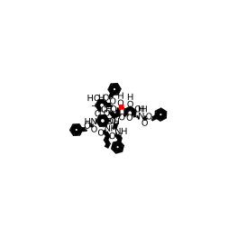 CCC[C@H](O)C(=O)N[C@@H]1C[C@H](NC(=O)OCc2ccccc2)[C@@H](O[C@H]2O[C@@H]3COC(c4ccccc4)O[C@H]3[C@H](O)[C@H]2C)[C@H](O[C@@H]2O[C@H](CO)[C@@H](O[C@H]3O[C@@H](CNC(=O)OCc4ccccc4)[C@@H](O)[C@H](O)[C@H]3C)[C@H]2OCCNCCc2ccccc2)[C@H]1O